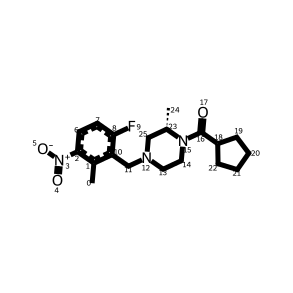 Cc1c([N+](=O)[O-])ccc(F)c1CN1CCN(C(=O)C2CCCC2)[C@@H](C)C1